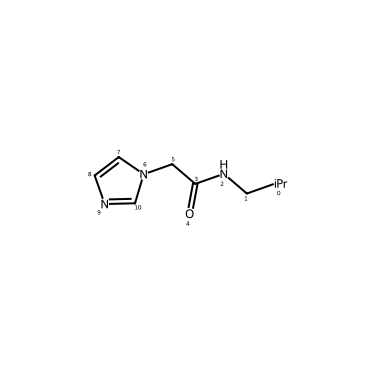 CC(C)CNC(=O)Cn1ccnc1